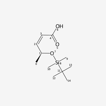 C[C@@H](/C=C\C(=O)O)O[Si](C)(C)C(C)(C)C